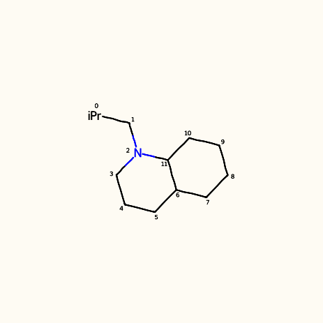 CC(C)CN1CCCC2CCCCC21